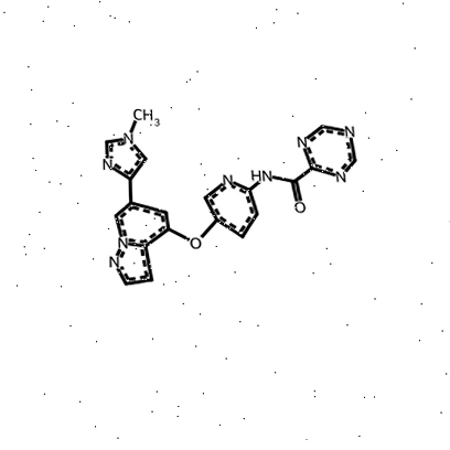 Cn1cnc(-c2cc(Oc3ccc(NC(=O)c4ncncn4)nc3)c3ccnn3c2)c1